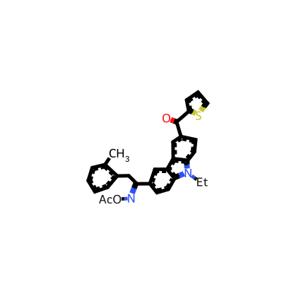 CCn1c2ccc(C(=O)c3cccs3)cc2c2cc(/C(Cc3ccccc3C)=N/OC(C)=O)ccc21